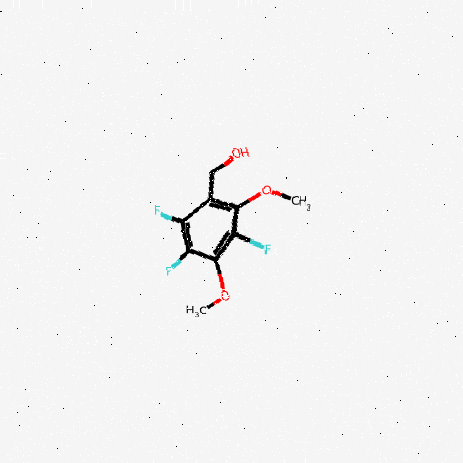 COc1c(F)c(F)c(CO)c(OC)c1F